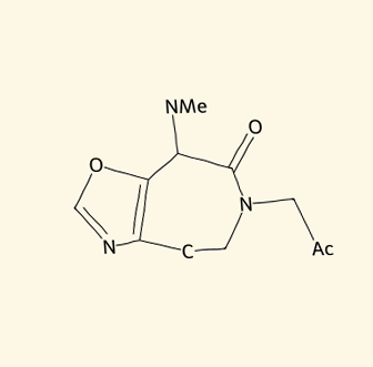 CNC1C(=O)N(CC(C)=O)CCc2ncoc21